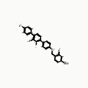 CCCCc1ccc(COc2ccc(-c3ccc(-c4ccc(CC)cc4)c(F)c3F)cc2)c(F)c1